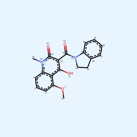 COc1cccc2c1c(O)c(C(=O)N1CCc3ccccc31)c(=O)n2C